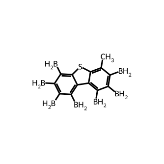 Bc1c(B)c(B)c2c(sc3c(C)c(B)c(B)c(B)c32)c1B